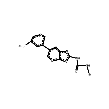 CCNC(=O)Nc1nc2cc(-c3cncc(C(=O)OCC)c3)cnc2s1